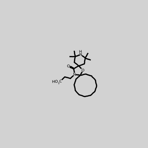 CC1(C)CC2(CC(C)(C)N1)OC1(CCCCCCCCCCC1)N(CCC(=O)O)C2=O